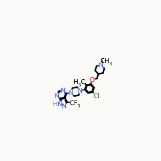 Cc1c(OCC2CCN(C)CC2)cc(Cl)cc1N1CCN(c2ncnc3[nH]nc(C(F)(F)F)c23)CC1